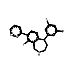 Fc1cc(F)cc(C2CCNCc3c2ccc(-c2cccnn2)c3F)c1